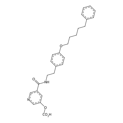 O=C(O)Oc1cncc(C(=O)NCCc2ccc(OCCCCCc3ccccc3)cc2)c1